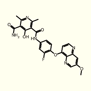 COc1cnc2c(Oc3ccc(NC(=O)c4c(C)nc(C)c(C(N)=O)c4O)cc3F)ccnc2c1